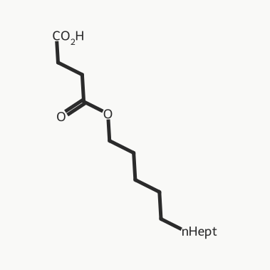 CCCCCCCCCCCCOC(=O)CCC(=O)O